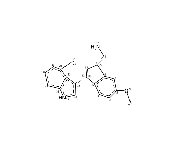 COc1ccc2c(c1)[C@@H](CN)C[C@H]2c1c[nH]c2cccc(Cl)c12